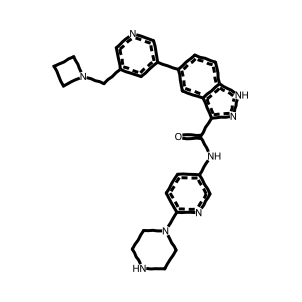 O=C(Nc1ccc(N2CCNCC2)nc1)c1n[nH]c2ccc(-c3cncc(CN4CCC4)c3)cc12